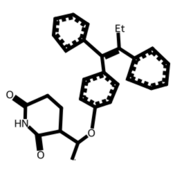 [CH2]C(Oc1ccc(C(=C(CC)c2ccccc2)c2ccccc2)cc1)C1CCC(=O)NC1=O